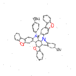 CC(C)(C)c1ccc(N2B3c4cc5c(cc4-n4c6ccc(C(C)(C)C)cc6c6c7c(oc8ccccc87)c(c3c64)-c3cc4oc6ccccc6c4cc32)oc2ccccc25)cc1